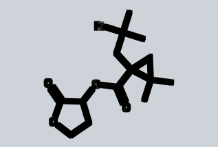 CCC(C)(C)CC1(C(=O)OC2CCOC2=O)CC1(C)C